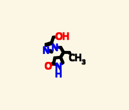 CCC(Cn1cncc1CO)C1CNC(=O)C1